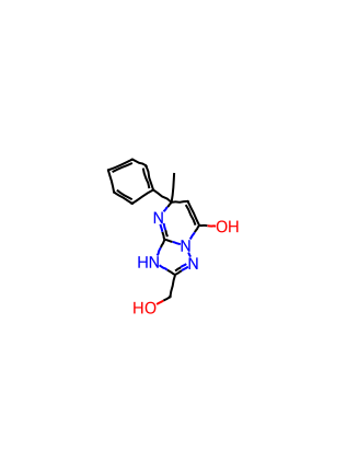 CC1(c2ccccc2)C=C(O)N2N=C(CO)NC2=N1